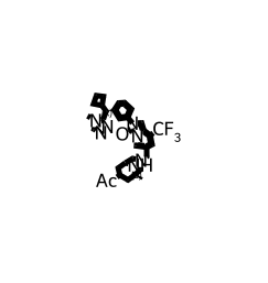 CC(=O)C1CC2CN(Cc3cc(C(F)(F)F)c4cn(-c5cccc([C@H](c6nncn6C)C6CCC6)c5)c(=O)n4c3)C[C@](C)(C1)N2